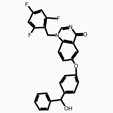 O=c1ncn(Cc2c(F)cc(F)cc2F)c2ccc(Oc3ccc(C(O)c4ccccc4)cc3)cc12